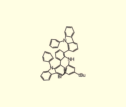 CC(C)(C)c1cc(Br)cc(Nc2c(-c3cccc4c5ccccc5n(-c5ccccc5)c34)cccc2-c2cccc3c4ccccc4n(-c4ccccc4)c23)c1